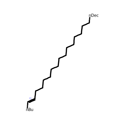 [CH2]CCC/C=C/CCCCCCCCCCCCCCCCCCCCCCCC